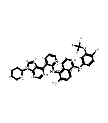 Cc1ccc2c(Nc3ccc(F)c(OC(F)(F)F)c3)nccc2c1Nc1ncccc1-c1ncnc2c1ncn2C1CCCCO1